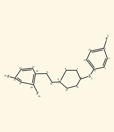 Fc1ccc(SC2CCN(CCc3ccc(F)cc3F)CC2)cc1